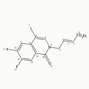 CCOC(=O)/C=C/Cn1cc(I)c2cc(F)c(F)cc2c1=O